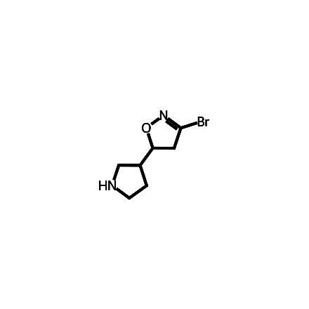 BrC1=NOC(C2CCNC2)C1